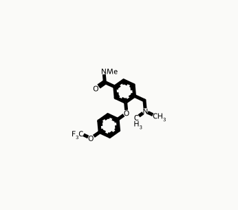 CNC(=O)c1ccc(CN(C)C)c(Oc2ccc(OC(F)(F)F)cc2)c1